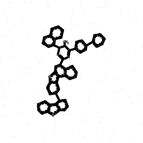 CC1C(c2ccc(-c3ccccc3)cc2)=NC(c2cc3oc4ccc(-c5cccc6oc7ccccc7c56)cc4c3c3ccccc23)=NC1c1cccc2ccccc12